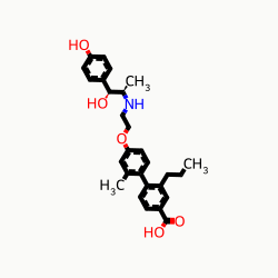 CCCc1cc(C(=O)O)ccc1-c1ccc(OCCN[C@@H](C)[C@H](O)c2ccc(O)cc2)cc1C